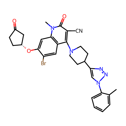 Cc1ccccc1-n1cc(C2CCN(c3c(C#N)c(=O)n(C)c4cc(O[C@@H]5CCC(=O)C5)c(Br)cc34)CC2)nn1